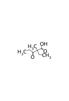 CCC(=O)C(C)(CC)C(=O)O